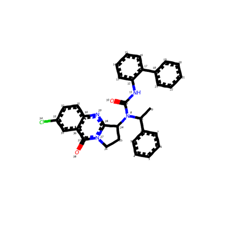 CC(c1ccccc1)N(C(=O)Nc1ccccc1-c1ccccc1)C1CCn2c1nc1ccc(Cl)cc1c2=O